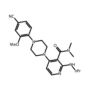 CCCNc1nccc(N2CCN(c3ccc(C#N)cc3OC)CC2)c1C(=O)N(C)C